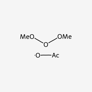 CC([O])=O.COOOC